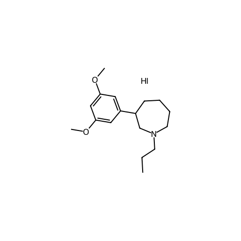 CCCN1CCCCC(c2cc(OC)cc(OC)c2)C1.I